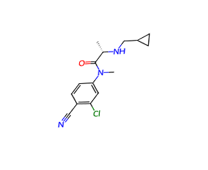 C[C@H](NCC1CC1)C(=O)N(C)c1ccc(C#N)c(Cl)c1